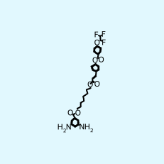 Nc1cc(N)cc(C(=O)OCCCCCCCCOC(=O)/C=C/c2ccc(OC(=O)c3ccc(OC(F)C(F)F)cc3)cc2)c1